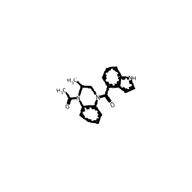 CC(=O)N1c2ccccc2N(C(=O)c2cccc3[nH]ccc23)CC1C